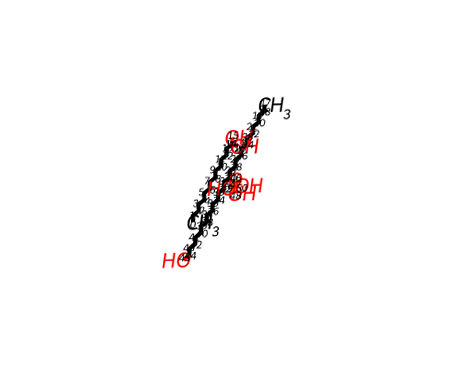 CCCCCCCCCCCCCCC(O)O.CCCCCCCCCCCCCCCCCCCCCCCCCCCCO.O=P(O)(O)O